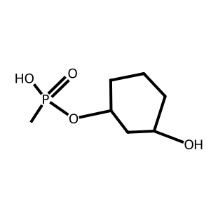 CP(=O)(O)OC1CCCC(O)C1